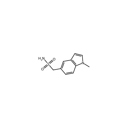 Cn1ccc2cc(CS(N)(=O)=O)ccc21